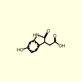 O=C(O)CC1C(=O)Nc2cc(O)ccc21